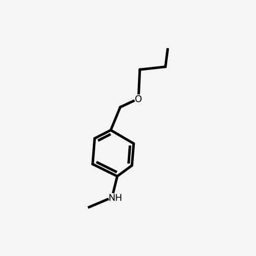 CCCOCc1ccc(NC)cc1